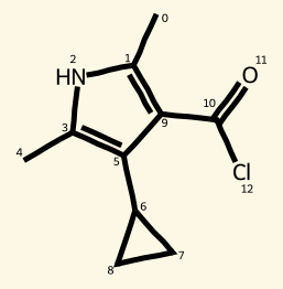 Cc1[nH]c(C)c(C2CC2)c1C(=O)Cl